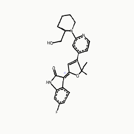 CC1(C)O/C(=C2/C(=O)Nc3cc(F)ccc32)C=C1c1ccnc(N2CCCCC2CO)c1